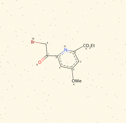 CCOC(=O)c1cc(OC)cc(C(=O)CBr)n1